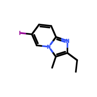 CCc1nc2ccc(I)cn2c1C